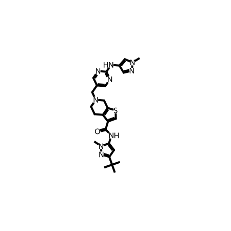 Cn1cc(Nc2ncc(CN3CCc4c(C(=O)Nc5cc(C(C)(C)C)nn5C)csc4C3)cn2)cn1